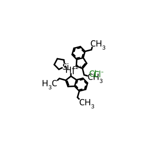 CCC1=Cc2c(CC)cccc2[CH]1[Hf+2]([CH]1C(CC)=Cc2c(CC)cccc21)=[Si]1CCCC1.[Cl-].[Cl-]